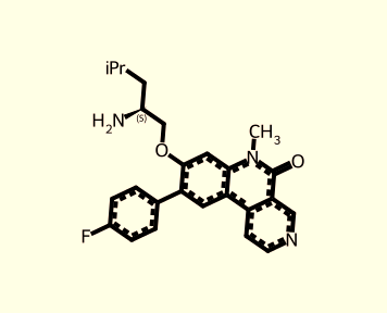 CC(C)C[C@H](N)COc1cc2c(cc1-c1ccc(F)cc1)c1ccncc1c(=O)n2C